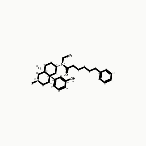 CC(C)CN(C(=O)CCCCCc1ccccc1)[C@H]1CC[C@@H]2CN(C)CC[C@@]2(c2cccc(O)c2)C1